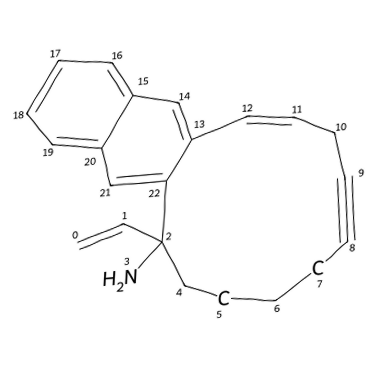 C=CC1(N)CCCCC#CC/C=C\c2cc3ccccc3cc21